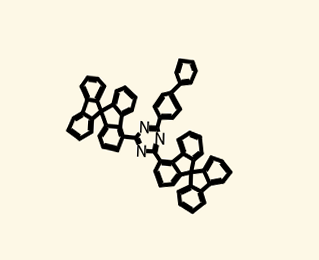 c1ccc(-c2ccc(-c3nc(-c4cccc5c4-c4ccccc4C54c5ccccc5-c5ccccc54)nc(-c4cccc5c4-c4ccccc4C54c5ccccc5-c5ccccc54)n3)cc2)cc1